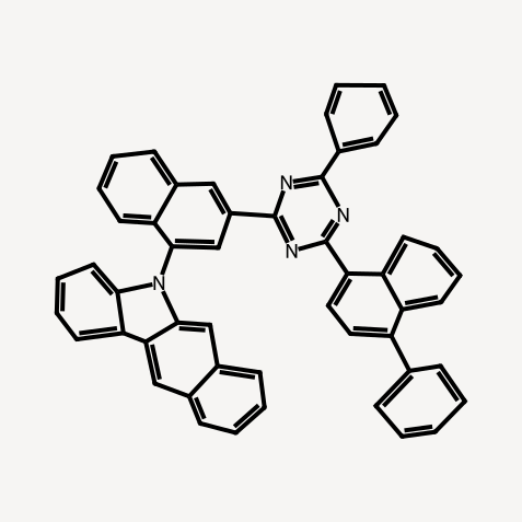 c1ccc(-c2nc(-c3cc(-n4c5ccccc5c5cc6ccccc6cc54)c4ccccc4c3)nc(-c3ccc(-c4ccccc4)c4ccccc34)n2)cc1